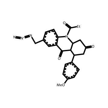 CCC(=O)N1c2ccc(CN=[N+]=[N-])cc2C(=O)C2C(c3ccc(OC)cc3)CC(=O)CC21